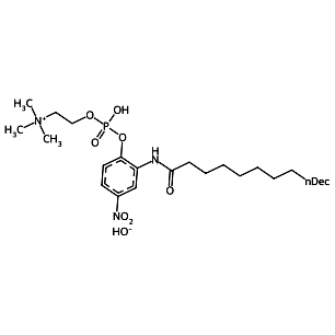 CCCCCCCCCCCCCCCCCC(=O)Nc1cc([N+](=O)[O-])ccc1OP(=O)(O)OCC[N+](C)(C)C.[OH-]